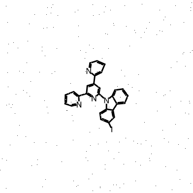 Ic1ccc2c(c1)c1ccccc1n2-c1cc(-c2ccccn2)cc(-c2ccccn2)n1